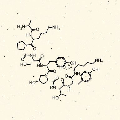 C[C@H](N)C(=O)N[C@@H](CCCCN)C(=O)N1CCC[C@H]1C(=O)N[C@@H](CO)C(=O)N[C@@H](Cc1ccc(O)cc1)C(=O)N1C[C@H](O)C[C@H]1C(=O)N[C@H](C(=O)N[C@@H](Cc1ccc(O)cc1)C(=O)N[C@@H](CCCCN)C(=O)O)[C@@H](C)O